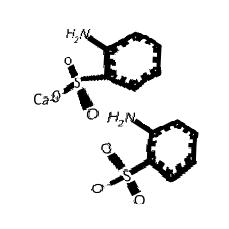 Nc1ccccc1S(=O)(=O)[O-].Nc1ccccc1S(=O)(=O)[O-].[Ca+2]